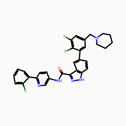 O=C(Nc1ccc(-c2ccccc2F)nc1)c1n[nH]c2ccc(-c3cc(CN4CCCCC4)cc(F)c3F)cc12